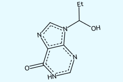 CCC(O)n1cnc2c(=O)[nH]cnc21